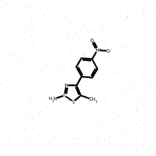 CC1=C(c2ccc([N+](=O)[O-])cc2)N=S(N)S1